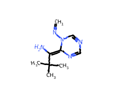 C=NN1C=NC=N/C1=C(/N)C(C)(C)C